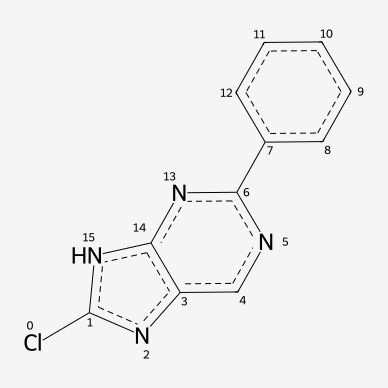 Clc1nc2cnc(-c3ccccc3)nc2[nH]1